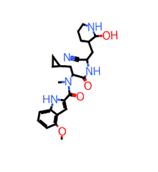 COc1cccc2[nH]c(C(=O)N(C)C(CC3CC3)C(=O)NC(C#N)CC3CCCNC3O)cc12